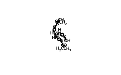 C=C(C)C(=O)OCCOc1ccc(Nc2nc(Nc3ccc(OCCO)cc3)nc(Nc3ccc(OCCOC(=O)C(=C)C)cc3)n2)cc1